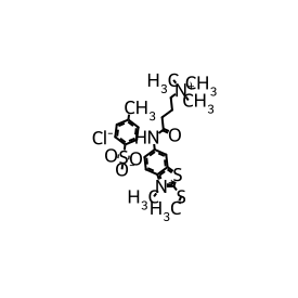 CSc1sc2cc(NC(=O)CCC[N+](C)(C)C)ccc2[n+]1C.Cc1ccc(S(=O)(=O)[O-])cc1.[Cl-]